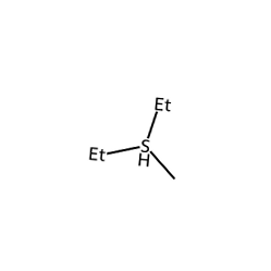 CC[SH](C)CC